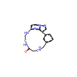 O=C1CCNCc2cccc(c2)-c2cnn3ccc(nc23)NCCN1